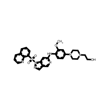 COc1cc(N2CCN(CCO)CC2)ccc1Nc1cc2c(cn1)cnn2S(=O)(=O)c1cccc2cccnc12